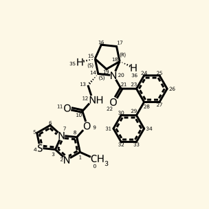 Cc1nc2sccn2c1OC(=O)NC[C@@H]1[C@H]2CC[C@H](C2)N1C(=O)c1ccccc1-c1ccccc1